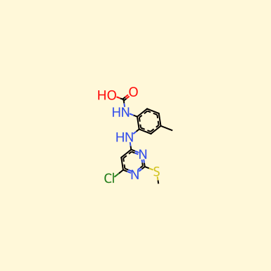 CSc1nc(Cl)cc(Nc2cc(C)ccc2NC(=O)O)n1